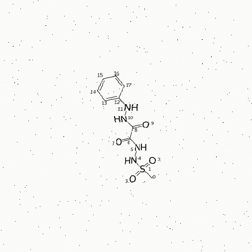 CS(=O)(=O)NNC(=O)C(=O)NNc1ccccc1